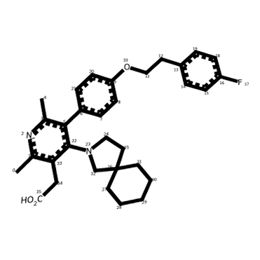 Cc1nc(C)c(-c2ccc(OCCc3ccc(F)cc3)cc2)c(N2CCC3(CCCCC3)C2)c1CC(=O)O